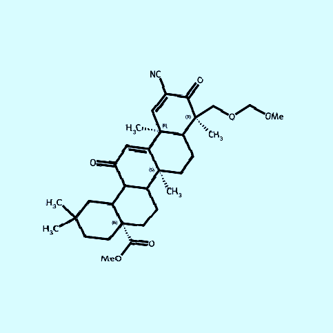 COCOC[C@]1(C)C(=O)C(C#N)=C[C@]2(C)C3=CC(=O)C4C5CC(C)(C)CC[C@]5(C(=O)OC)CCC4[C@]3(C)CCC21